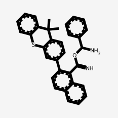 CC1(C)c2ccccc2Sc2cc(-c3ccc4ccccc4c3C(=N)OC(N)c3ccccc3)ccc21